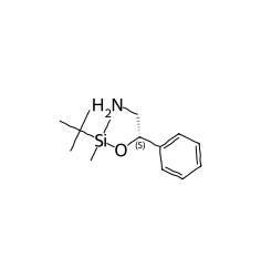 CC(C)(C)[Si](C)(C)O[C@H](CN)c1ccccc1